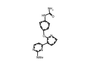 CNc1nccc(-c2cccnc2Oc2ccc(NC(N)=O)cc2)n1